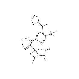 C=CC1[n+]2cc([Si](C)(C)C)c(C(C)C3CCCC3)cc2-c2ccccc2C12CC(C)C2NC